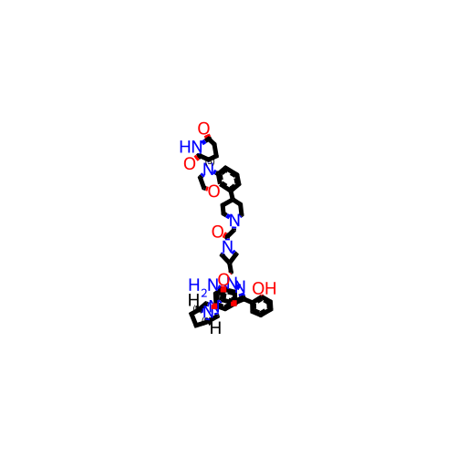 Nc1nnc(-c2ccccc2O)cc1N1C[C@H]2CC[C@@H](C1)N2c1cccc(OCC2CN(C(=O)CN3CCC(c4cccc5c4OCCN5[C@H]4CCC(=O)NC4=O)CC3)C2)c1